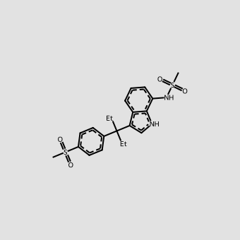 CCC(CC)(c1ccc(S(C)(=O)=O)cc1)c1c[nH]c2c(NS(C)(=O)=O)cccc12